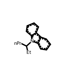 CCCC(CC)n1c2ccccc2c2ccccc21